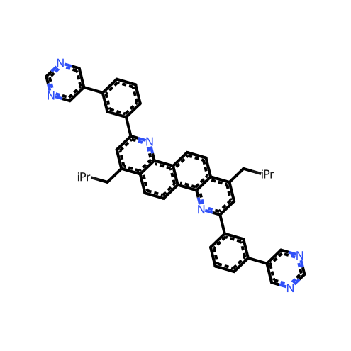 CC(C)Cc1cc(-c2cccc(-c3cncnc3)c2)nc2c1ccc1c2ccc2c(CC(C)C)cc(-c3cccc(-c4cncnc4)c3)nc21